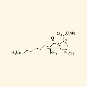 C=CCCCCC[C@H](N)C(=O)N1C[C@@H](O)C[C@H]1C(=O)OC